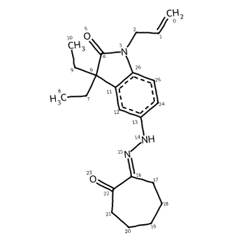 C=CCN1C(=O)C(CC)(CC)c2cc(N/N=C3\CCCCCC3=O)ccc21